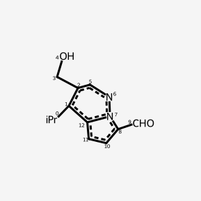 CC(C)c1c(CO)cnn2c(C=O)ccc12